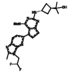 CNc1nc(N[C@H]2C[C@H](C(C)(C)O)C2)nn2ccc(-c3ccc4nc(C)n(CC(F)F)c4n3)c12